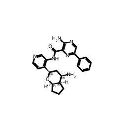 Nc1ncc(-c2ccccc2)nc1C(=O)Nc1cnccc1[C@H]1C[C@@H](N)[C@H]2CCC[C@H]2O1